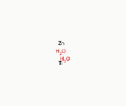 O.O.[Ti].[Zn]